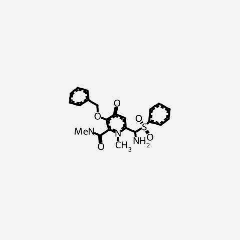 CNC(=O)c1c(OCc2ccccc2)c(=O)cc(C(N)S(=O)(=O)c2ccccc2)n1C